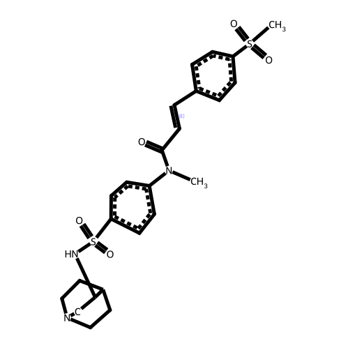 CN(C(=O)/C=C/c1ccc(S(C)(=O)=O)cc1)c1ccc(S(=O)(=O)NC2CN3CCC2CC3)cc1